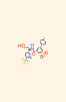 Cc1ccc(-c2cc(C(=O)N[C@H](CCO)c3ccc(C(F)(F)F)nc3)cc(S(C)(=O)=O)c2)cc1